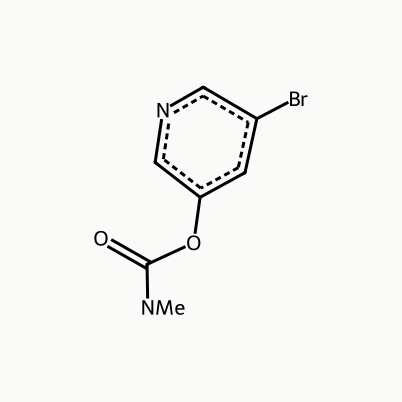 CNC(=O)Oc1cncc(Br)c1